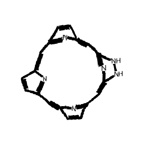 C1=CC2=NC1=CC1=NC(=CC3=NC(=CC4=NC(=C2)C=C4)NN3)C=C1